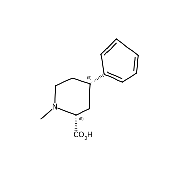 CN1CC[C@H](c2ccccc2)C[C@@H]1C(=O)O